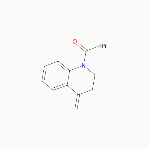 C=C1CCN(C(=O)CCC)c2ccccc21